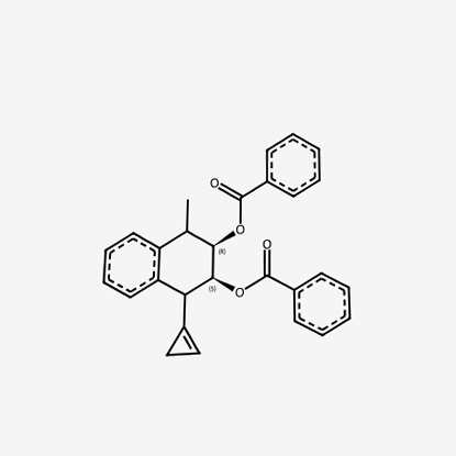 CC1c2ccccc2C(C2=CC2)[C@H](OC(=O)c2ccccc2)[C@@H]1OC(=O)c1ccccc1